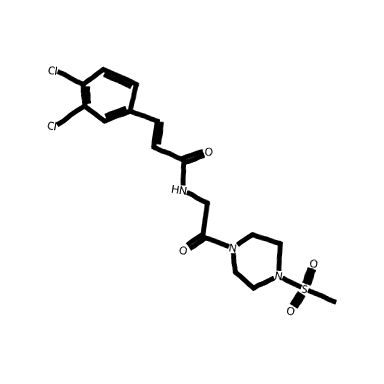 CS(=O)(=O)N1CCN(C(=O)CNC(=O)/C=C/c2ccc(Cl)c(Cl)c2)CC1